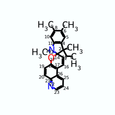 CCC1(C)c2cc(C)c(C)cc2N(C)C12C=Cc1c(ccc3ncccc13)O2